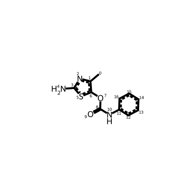 Cc1nc(N)sc1OC(=O)Nc1ccccc1